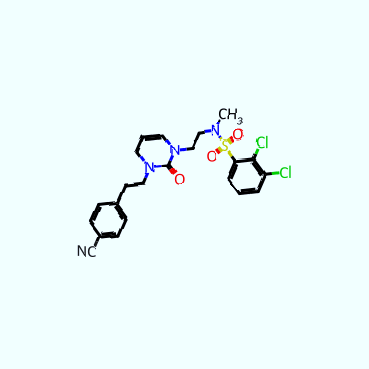 CN(CCN1C=CCN(CCc2ccc(C#N)cc2)C1=O)S(=O)(=O)c1cccc(Cl)c1Cl